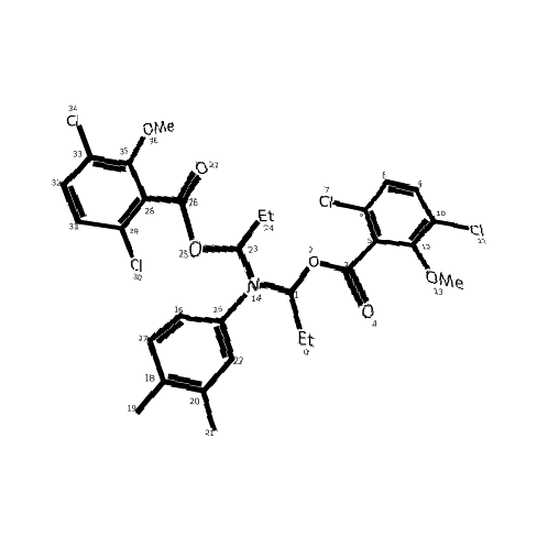 CCC(OC(=O)c1c(Cl)ccc(Cl)c1OC)N(c1ccc(C)c(C)c1)C(CC)OC(=O)c1c(Cl)ccc(Cl)c1OC